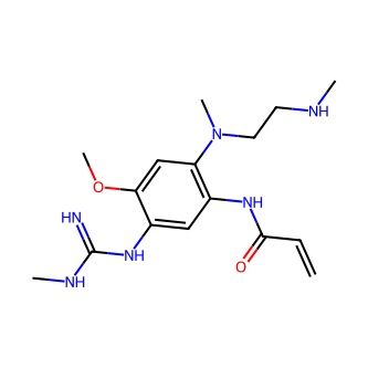 C=CC(=O)Nc1cc(NC(=N)NC)c(OC)cc1N(C)CCNC